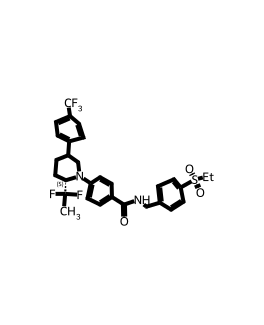 CCS(=O)(=O)c1ccc(CNC(=O)c2ccc(N3CC(c4ccc(C(F)(F)F)cc4)CC[C@H]3C(C)(F)F)cc2)cc1